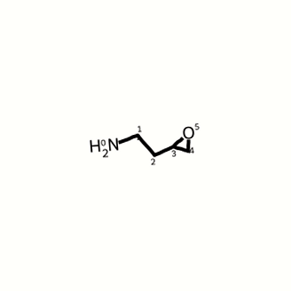 N[CH]CC1CO1